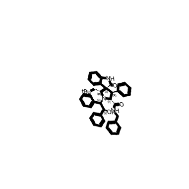 CC(C)(C)C[C@H]1N([C@H](c2ccccc2)[C@@H](O)c2ccccc2)[C@@H](C(=O)NCc2ccccc2)[C@H](c2ccccc2)[C@@]12C(=O)Nc1ccccc12